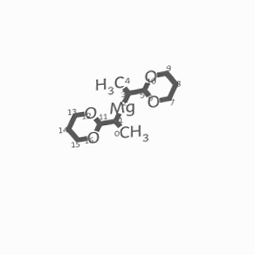 C[CH]([Mg][CH](C)C1OCCCO1)C1OCCCO1